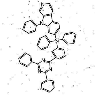 c1ccc(-c2nc(-c3ccccc3)nc(-c3cccc([Si](c4ccccc4)(c4ccccc4)c4ccc5c6ccncc6n(-c6ccccc6)c5c4)c3)n2)cc1